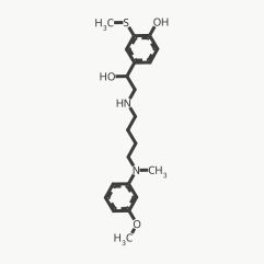 COc1cccc(N(C)CCCCNCC(O)c2ccc(O)c(SC)c2)c1